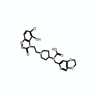 O=C(O)N(Cc1cc2c(cn1)OCCO2)C1CCN(CCn2c(=O)nnc3ccc(Cl)c(O)c32)CC1